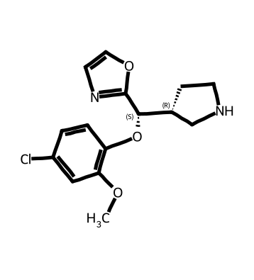 COc1cc(Cl)ccc1O[C@H](c1ncco1)[C@@H]1CCNC1